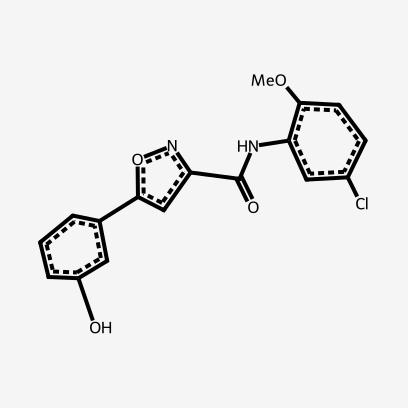 COc1ccc(Cl)cc1NC(=O)c1cc(-c2cccc(O)c2)on1